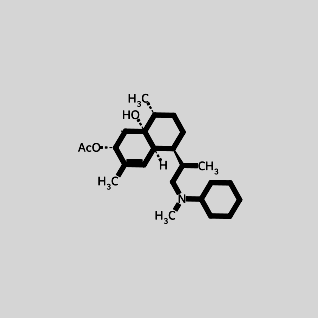 CC(=O)O[C@@H]1[CH][C@@]2(O)[C@H](C)CC[C@@H](C(C)CN(C)C3CCCCC3)[C@H]2C=C1C